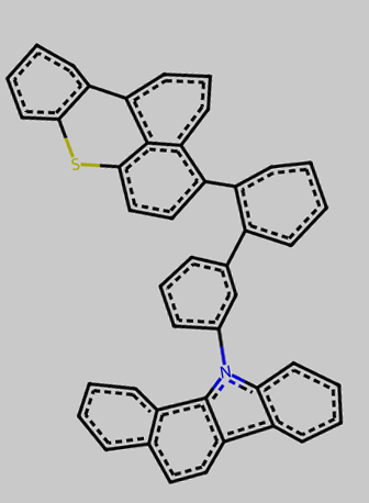 c1cc(-c2ccccc2-c2ccc3c4c(cccc24)-c2ccccc2S3)cc(-n2c3ccccc3c3ccc4ccccc4c32)c1